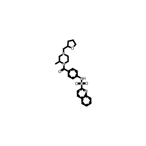 CC1CN(CC2CCCO2)CCN1C(=O)c1ccc(NS(=O)(=O)c2ccc3ccccc3n2)cc1